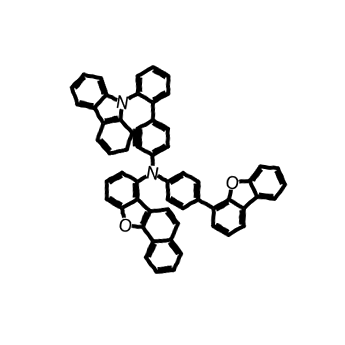 c1c(-c2ccccc2-n2c3c(c4ccccc42)C=CCC3)ccc(N(c2ccc(-c3cccc4c3oc3ccccc34)cc2)c2cccc3oc4c5ccccc5ccc4c23)c#1